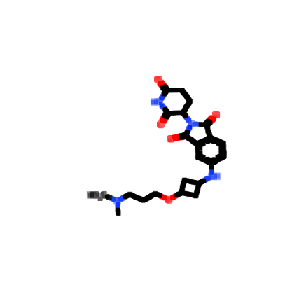 CN(CCCOC1CC(Nc2ccc3c(c2)C(=O)N(C2CCC(=O)NC2=O)C3=O)C1)C(=O)O